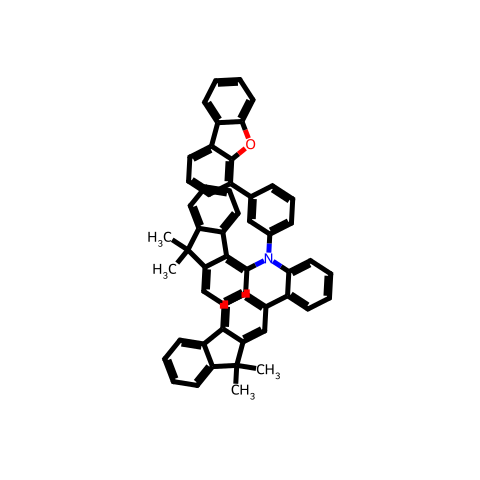 CC1(C)c2ccccc2-c2ccc(-c3ccccc3N(c3cccc(-c4cccc5c4oc4ccccc45)c3)c3cccc4c3-c3ccccc3C4(C)C)cc21